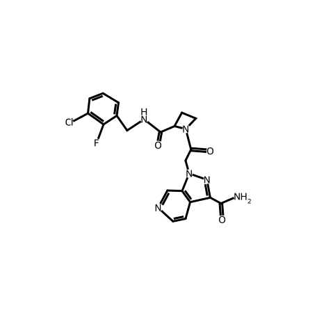 NC(=O)c1nn(CC(=O)N2CCC2C(=O)NCc2cccc(Cl)c2F)c2cnccc12